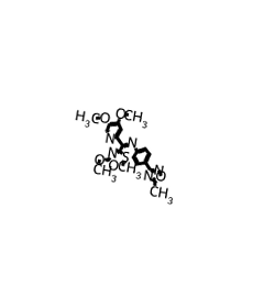 COC(=O)/N=C(SC)/C(=N\c1ccc(-c2noc(C)n2)cc1)c1cc(OC)c(OC)cn1